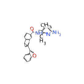 Cc1cc(N)nc(C)c1CNC(=O)c1ccc2c(c1)C1CC2C=C1c1coc2ccccc12